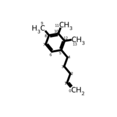 C=CCCCc1ccc(C)c(C)c1C